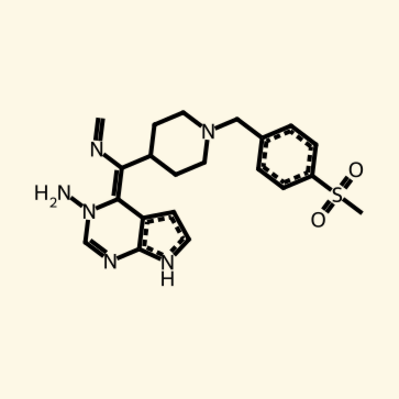 C=N/C(=C1/c2cc[nH]c2N=CN1N)C1CCN(Cc2ccc(S(C)(=O)=O)cc2)CC1